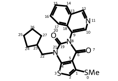 CSc1csc2c1c(=O)n(-c1cncc3ccccc13)c(=O)n2CC1CCCC1